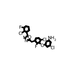 Nc1cc(Cl)cc(Oc2c(Cl)ccc(Cc3nnc(-c4cccc(F)c4Cl)o3)c2F)c1